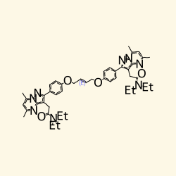 CCN(CC)C(=O)Cc1c(-c2ccc(OC/C=C/COc3ccc(-c4nn5c(C)cc(C)nc5c4CC(=O)N(CC)CC)cc3)cc2)nn2c(C)cc(C)nc12